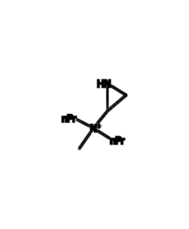 CCC[N+](C)(CCC)C1CN1